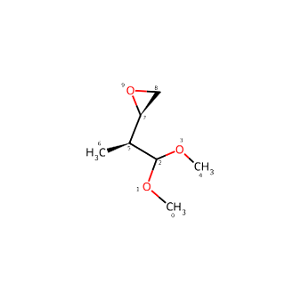 COC(OC)[C@@H](C)[C@@H]1CO1